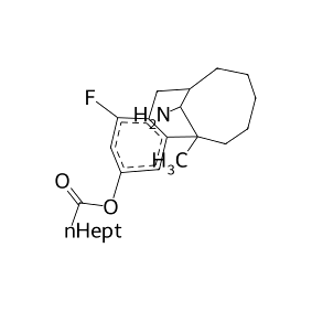 CCCCCCCC(=O)Oc1cc(F)c2c(c1)C1(C)CCCCCC(C2)C1N